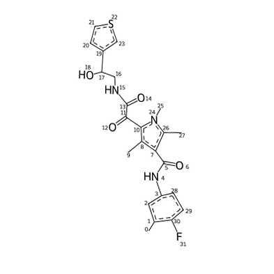 Cc1cc(NC(=O)c2c(C)c(C(=O)C(=O)NCC(O)c3ccsc3)n(C)c2C)ccc1F